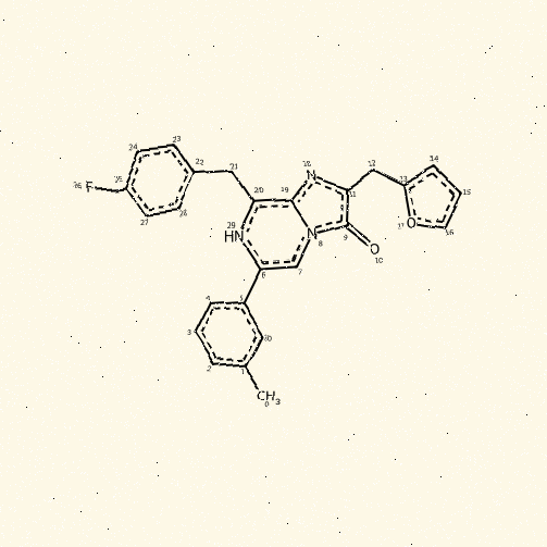 Cc1cccc(-c2cn3c(=O)c(Cc4ccco4)nc-3c(Cc3ccc(F)cc3)[nH]2)c1